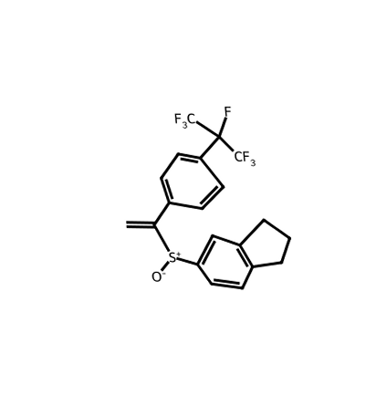 C=C(c1ccc(C(F)(C(F)(F)F)C(F)(F)F)cc1)[S+]([O-])c1ccc2c(c1)CCC2